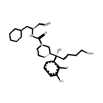 CNC[C@H](CC1CCCCC1)NC(=O)N1CCC[C@@H]([C@@](O)(CCCCOC)c2cccc(C)c2F)C1